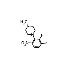 CN1CCN(c2c([N+](=O)[O-])ccc(F)c2F)CC1